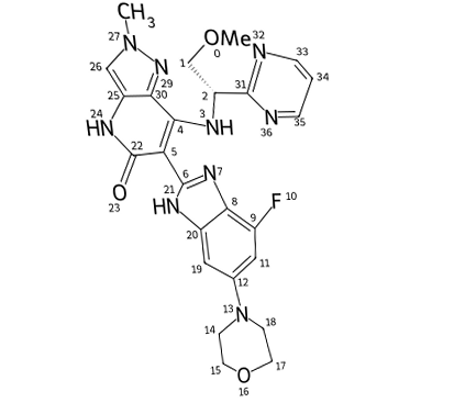 COC[C@@H](Nc1c(-c2nc3c(F)cc(N4CCOCC4)cc3[nH]2)c(=O)[nH]c2cn(C)nc12)c1ncccn1